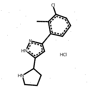 Cc1c(Cl)cccc1-c1cc(C2CCCN2)[nH]n1.Cl